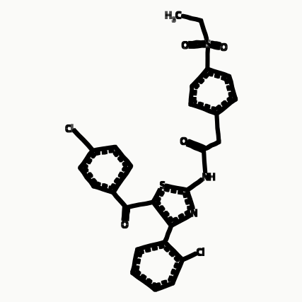 CCS(=O)(=O)c1ccc(CC(=O)Nc2nc(-c3ccccc3Cl)c(C(=O)c3ccc(Cl)cc3)s2)cc1